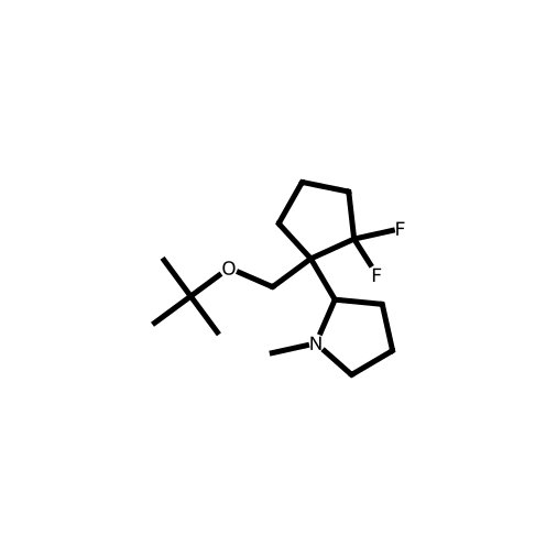 CN1CCCC1C1(COC(C)(C)C)CCCC1(F)F